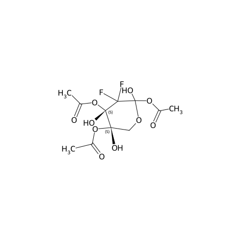 CC(=O)OC1(O)OC[C@](O)(OC(C)=O)[C@](O)(OC(C)=O)C1(F)F